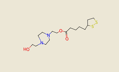 O=C(CCCCC1CCSS1)OCCN1CCN(CCO)CC1